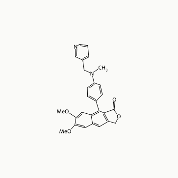 COc1cc2cc3c(c(-c4ccc(N(C)Cc5cccnc5)cc4)c2cc1OC)C(=O)OC3